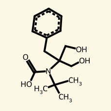 CC(C)(C)N(C(=O)O)C(CO)(CO)Cc1ccccc1